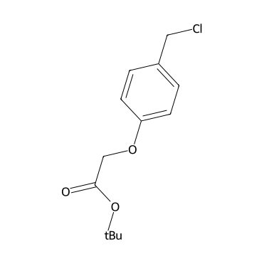 CC(C)(C)OC(=O)COc1ccc(CCl)cc1